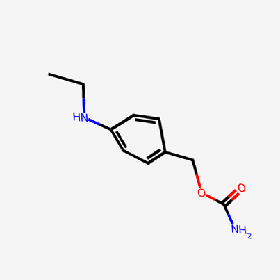 CCNc1ccc(COC(N)=O)cc1